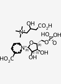 C[N+](C)(C)CC(O)CC(=O)O.O=C(O)c1ccc[n+]([C@@H]2O[C@H](COP(=O)(O)O)[C@@H](O)[C@H]2O)c1